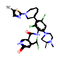 C[C@H]1CN(c2cc(F)c(C3=CCCN(c4ncc(C#N)s4)C3)c(F)c2NC(=O)c2c[nH]c(=O)cc2C(F)F)CCN1C